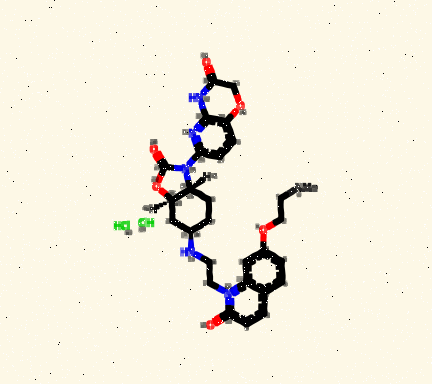 CNCCOc1ccc2ccc(=O)n(CCN[C@@H]3CC[C@@H]4[C@@H](C3)OC(=O)N4c3ccc4c(n3)NC(=O)CO4)c2c1.Cl.Cl